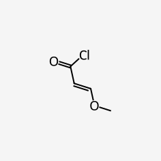 COC=CC(=O)Cl